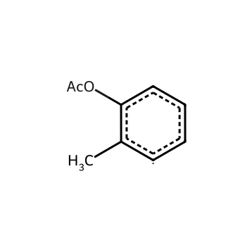 CC(=O)Oc1ccc[c]c1C